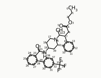 CCCOC(=O)CC(c1ccccc1)C(C)N1CCC(NC(=O)c2ccccc2-c2ccc(C(F)(F)F)cc2)CC1